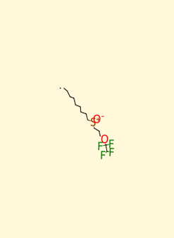 [CH2]CCCCCCCC[S+]([O-])CCCOC(F)(F)C(F)F